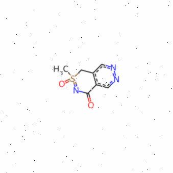 CS1(=O)=NC(=O)c2cnncc2C1